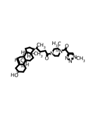 CC(CCC(=O)N1CCN(C(=O)c2cn(C)nn2)[C@@H](C)C1)[C@H]1CC[C@H]2[C@@H]3CC=C4C[C@@H](O)CC[C@]4(C)[C@H]3CC[C@]12C